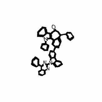 O=C1CC(c2ccccc2)c2ccc(-c3ccc4c(c3)c3ccccc3n4-c3nc(-c4ccccc4)c4ccccc4n3)cc2-c2c1c1ccccc1n2-c1ccccc1